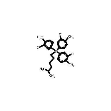 Cc1ccc([B-](CCCCC(C)C)(c2ccc(C)c(Cl)c2)c2ccc(C)c(Cl)c2)cc1Cl